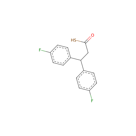 O=C(S)CC(c1ccc(F)cc1)c1ccc(F)cc1